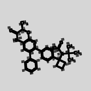 C[C@H]1Oc2nc(-c3ccc(C4(N(C(=O)O)C(C)(C)C)CCC4)cc3)c(-c3ccccc3)cc2NC1=O